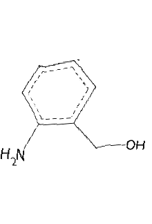 Nc1cc[c]cc1CO